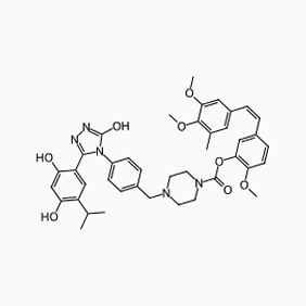 COc1ccc(/C=C\c2cc(C)c(OC)c(OC)c2)cc1OC(=O)N1CCN(Cc2ccc(-n3c(O)nnc3-c3cc(C(C)C)c(O)cc3O)cc2)CC1